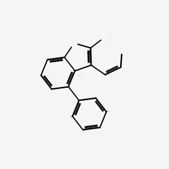 C/C=C\c1c(C)oc2cccc(-c3ccccc3)c12